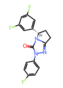 O=c1n(-c2ccc(F)cc2)nc2n1[C@H](c1cc(F)cc(F)c1)CC2